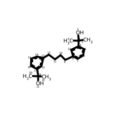 CC(C)(O)c1cccc(CCCCc2cccc(C(C)(C)O)c2)c1